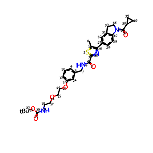 Cc1sc(C(=O)NCc2cccc(OCCOCCNC(=O)OC(C)(C)C)c2)nc1-c1ccc2c(c1)CCN2C(=O)C1CC1